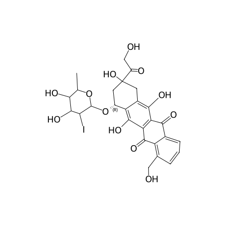 CC1OC(O[C@@H]2CC(O)(C(=O)CO)Cc3c(O)c4c(c(O)c32)C(=O)c2c(CO)cccc2C4=O)C(I)C(O)C1O